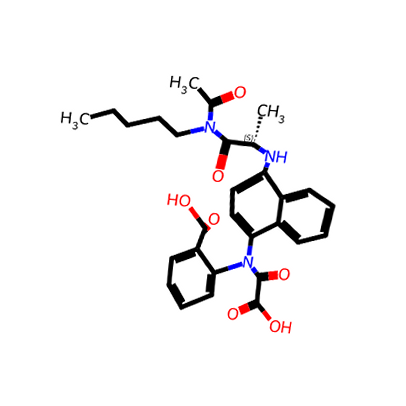 CCCCCN(C(C)=O)C(=O)[C@H](C)Nc1ccc(N(C(=O)C(=O)O)c2ccccc2C(=O)O)c2ccccc12